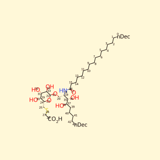 CCCCCCCCCCCCCCCCCCCCCCCCCC(=O)N[C@@H](CO[C@H]1O[C@H](CSCC(=O)O)[C@H](O)[C@H](O)[C@H]1O)[C@H](O)[C@H](O)CCCCCCCCCCCCCC